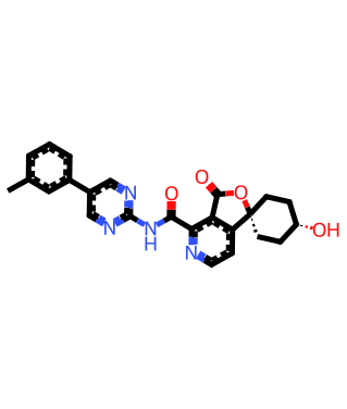 Cc1cccc(-c2cnc(NC(=O)c3nccc4c3C(=O)O[C@]43CC[C@@H](O)CC3)nc2)c1